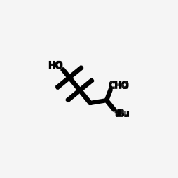 CC(C)(C)C(C=O)CC(C)(C)C(C)(C)O